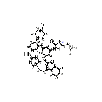 Cc1cc(Nc2ncc3c(n2)N(c2cccc(NC(=O)/C=C/CN(C)C)c2)C(=O)N(c2ccccc2)CC3)ccc1N1CCN(C)CC1